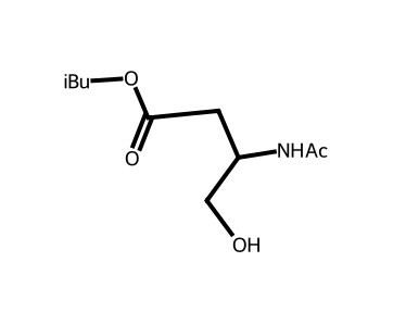 CCC(C)OC(=O)CC(CO)NC(C)=O